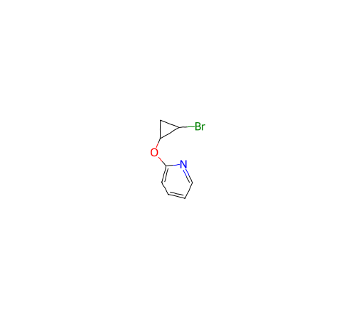 BrC1CC1Oc1ccccn1